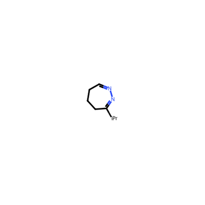 CC(C)C1=NN=CCCC1